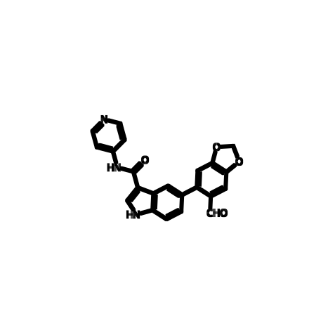 O=Cc1cc2c(cc1-c1ccc3[nH]cc(C(=O)Nc4ccncc4)c3c1)OCO2